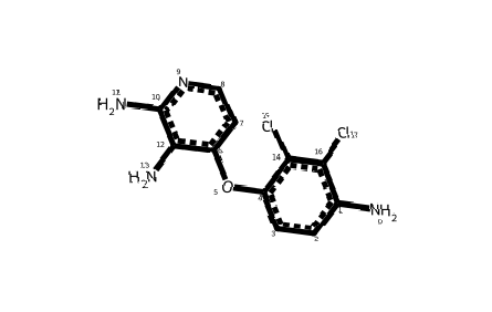 Nc1ccc(Oc2ccnc(N)c2N)c(Cl)c1Cl